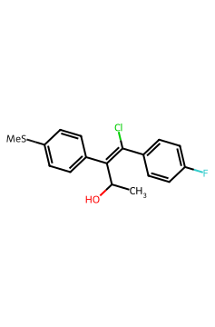 CSc1ccc(/C(=C(\Cl)c2ccc(F)cc2)C(C)O)cc1